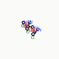 COc1cccnc1S(=O)(=O)n1c(-c2cncnc2)c(-c2ccnc(S(=O)(=O)n3c(-c4cncnc4)cc4cc(Cl)ccc43)c2O)c2cc(Cl)ccc21